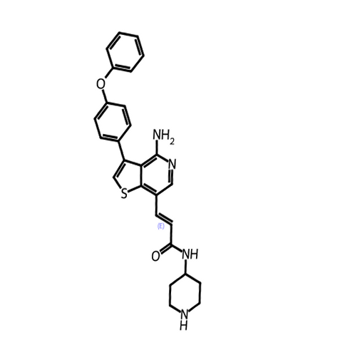 Nc1ncc(/C=C/C(=O)NC2CCNCC2)c2scc(-c3ccc(Oc4ccccc4)cc3)c12